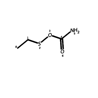 CCSOC(N)=O